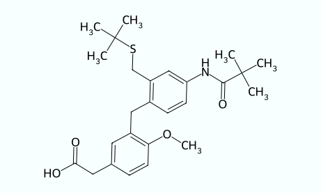 COc1ccc(CC(=O)O)cc1Cc1ccc(NC(=O)C(C)(C)C)cc1CSC(C)(C)C